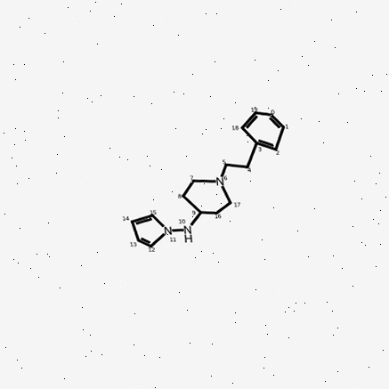 c1ccc(CCN2CCC(Nn3cccc3)CC2)cc1